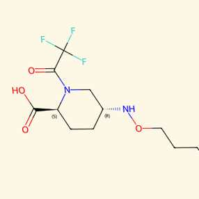 CCCCON[C@@H]1CC[C@@H](C(=O)O)N(C(=O)C(F)(F)F)C1